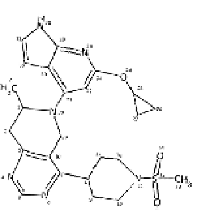 CC1Cc2ncnc(C3CCN(S(C)(=O)=O)CC3)c2CN1c1cc(OC2CC2)nc2[nH]ccc12